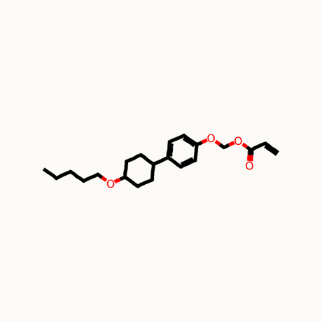 C=CC(=O)OCOc1ccc(C2CCC(OCCCCC)CC2)cc1